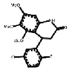 COc1cc2c(c(OC)c1OC)C(c1cc(Cl)ccc1F)CC(=O)N2